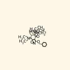 CCN(CC)[C@@H]1c2onc(OCc3ccccc3)c2C(=O)C2(O[Si](C)(C)C(C)(C)C)C(=O)C=CCC12